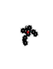 c1ccc2cc(N(c3ccc(-c4ccc5sc6ccccc6c5c4)cc3)c3cccc4oc5c6ccccc6ccc5c34)ccc2c1